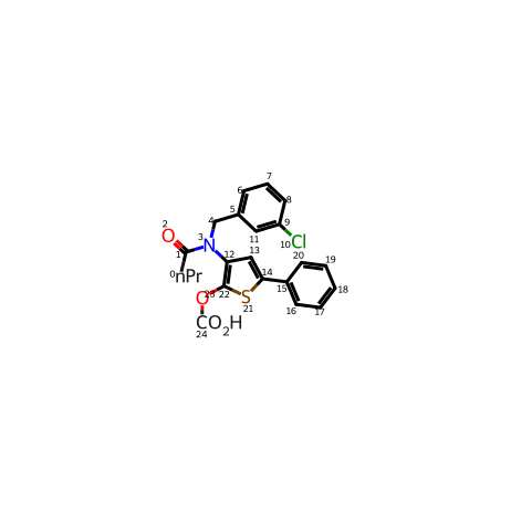 CCCC(=O)N(Cc1cccc(Cl)c1)c1cc(-c2ccccc2)sc1OC(=O)O